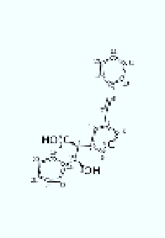 O=C(O)[C@@H](c1cccc(C#Cc2ccccc2)c1)[C@@H](O)c1ccccc1